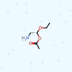 CCO[C@@H](CN)OC(C)=O